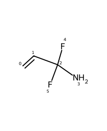 C=CC(N)(F)F